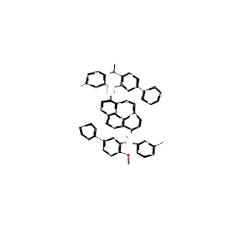 Cc1cccc(N(c2cc(-c3ccccc3)ccc2C(C)C)c2ccc3ccc4c(N(c5cccc(C)c5)c5cc(-c6ccccc6)ccc5C(C)C)ccc5ccc2c3c54)c1